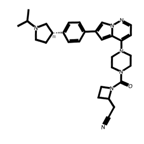 CC(C)N1CC[C@@H](c2ccc(-c3cc4c(N5CCN(C(=O)N6CCC6CC#N)CC5)ccnn4c3)cc2)C1